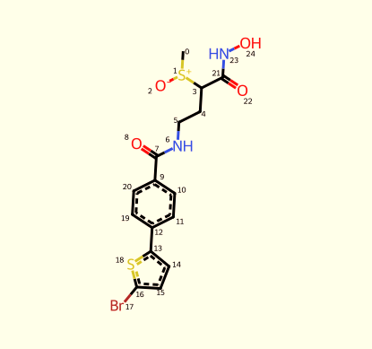 C[S+]([O-])C(CCNC(=O)c1ccc(-c2ccc(Br)s2)cc1)C(=O)NO